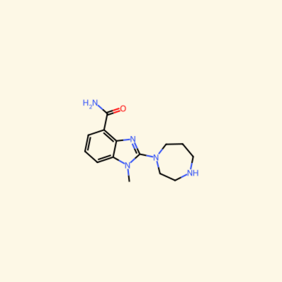 Cn1c(N2CCCNCC2)nc2c(C(N)=O)cccc21